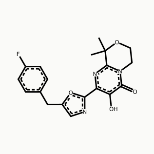 CC1(C)OCCn2c1nc(-c1ncc(Cc3ccc(F)cc3)o1)c(O)c2=O